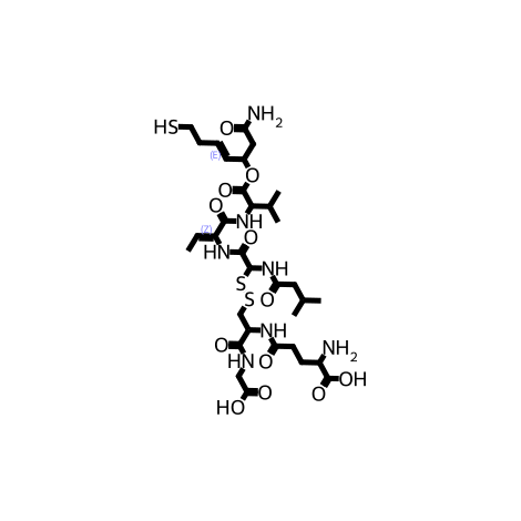 C/C=C(\NC(=O)C(NC(=O)CC(C)C)SSCC(NC(=O)CCC(N)C(=O)O)C(=O)NCC(=O)O)C(=O)NC(C(=O)OC(/C=C/CCS)CC(N)=O)C(C)C